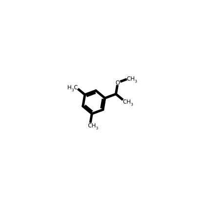 COC(C)c1cc(C)cc(C)c1